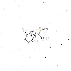 CC1(C)[C@@H]2CC[C@]1(C)C(C(SC#N)C(=O)O)C2